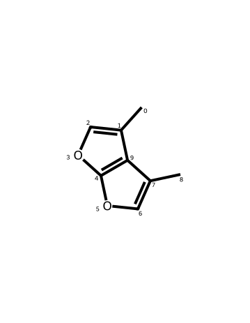 Cc1coc2occ(C)c12